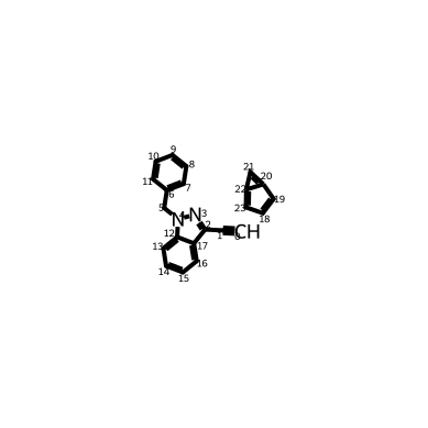 C#Cc1nn(Cc2ccccc2)c2ccccc12.c1cc2cc-2c1